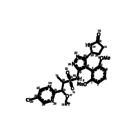 COc1cccc(OC)c1-n1c(NS(=O)(=O)C(C)C(OC(C)C)c2ncc(Cl)cn2)nnc1[C@@H]1CCC(=O)N1